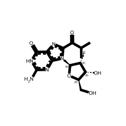 CC(C)C(=O)c1nc2c(=O)[nH]c(N)nc2n1[C@@H]1O[C@H](CO)[C@@H](O)[C@H]1F